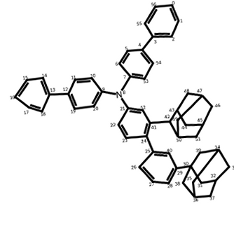 c1ccc(-c2ccc(N(c3ccc(-c4ccccc4)cc3)c3ccc(-c4cccc(C56CC7CC(CC(C7)C5)C6)c4)c(C4C5CC6CC(C5)CC4C6)c3)cc2)cc1